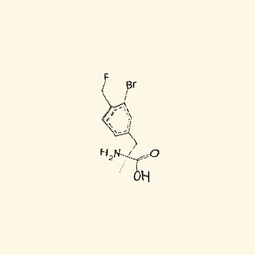 C[C@](N)(Cc1ccc(CF)c(Br)c1)C(=O)O